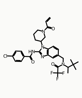 C=CC(=O)N1CCCC(n2c(NC(=O)c3ccc(Cl)cc3)nc3cc(CN(C(=O)C(F)(F)F)C(C)C(C)(C)C)ccc32)C1